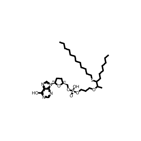 CCCCCCCCCCCCSC(CCCCCCC)C(C)OCCCOP(=O)(O)OC[C@@H]1CC[C@H](n2cnc3c(O)ncnc32)O1